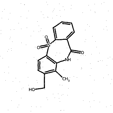 Cc1c(CO)ccc2c1NC(=O)c1ccccc1S2(=O)=O